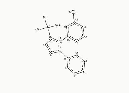 FC(F)(F)c1c[c]c(-c2ccccc2)n1-c1cccc(Cl)c1